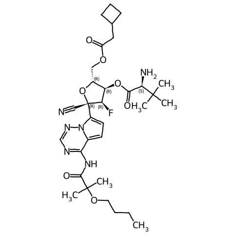 CCCCOC(C)(C)C(=O)Nc1ncnn2c([C@]3(C#N)O[C@H](COC(=O)CC4CCC4)[C@@H](OC(=O)[C@@H](N)C(C)(C)C)[C@H]3F)ccc12